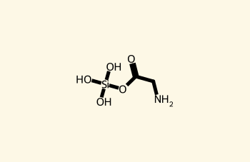 NCC(=O)O[Si](O)(O)O